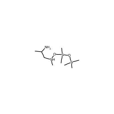 CC(N)C[SiH](C)O[Si](C)(C)O[Si](C)(C)C